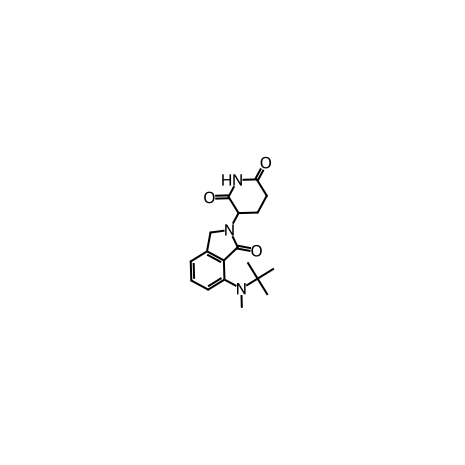 CN(c1cccc2c1C(=O)N(C1CCC(=O)NC1=O)C2)C(C)(C)C